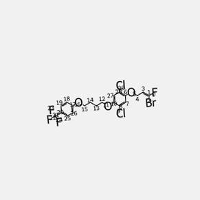 FC(Br)=CCOc1cc(Cl)c(OCCCCOc2ccc(C(F)(F)F)cc2)cc1Cl